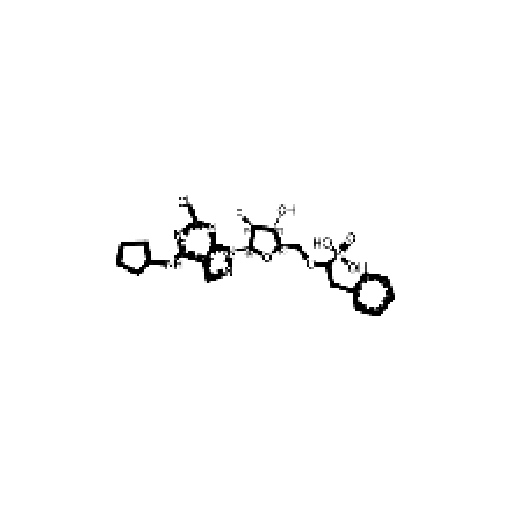 O=P(O)(O)C(Cc1ccccc1)OC[C@H]1O[C@@H](n2ncc3c(NC4CCCC4)nc(Cl)nc32)[C@@H](F)[C@@H]1O